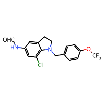 O=CNc1cc(Cl)c2c(c1)CCN2Cc1ccc(OC(F)(F)F)cc1